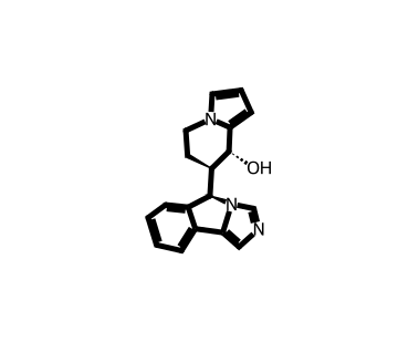 O[C@H]1c2cccn2CC[C@@H]1[C@@H]1c2ccccc2-c2cncn21